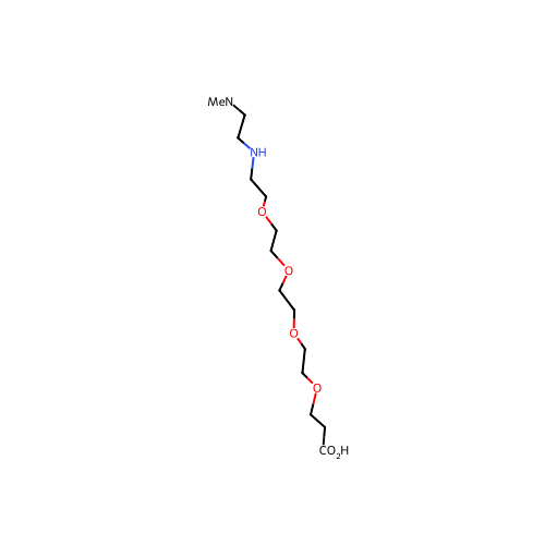 CNCCNCCOCCOCCOCCOCCC(=O)O